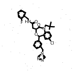 CC(C)(C)CN1C(=O)C(CC(=O)NCc2ccccc2F)OC(c2cccc(Cn3cnnc3)c2)c2cc(Cl)ccc21